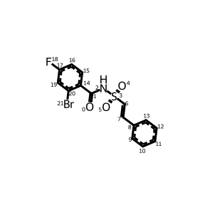 O=C(NS(=O)(=O)C=Cc1ccccc1)c1ccc(F)cc1Br